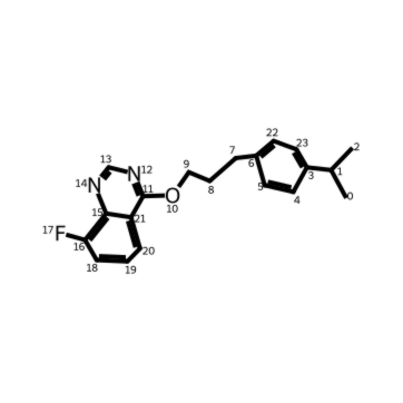 CC(C)c1ccc(CCCOc2ncnc3c(F)cccc23)cc1